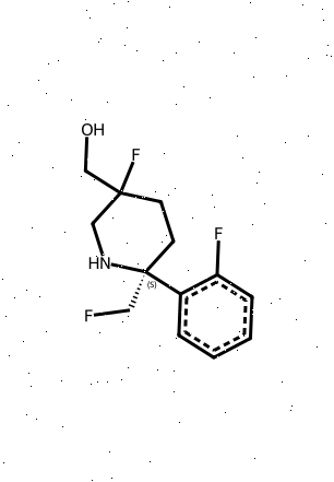 OCC1(F)CC[C@@](CF)(c2ccccc2F)NC1